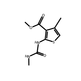 CNC(=O)Nc1scc(C)c1C(=O)OC